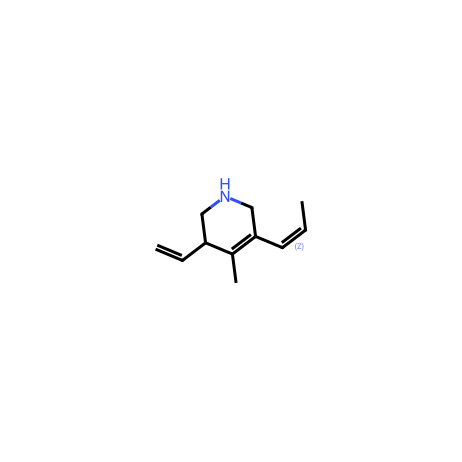 C=CC1CNCC(/C=C\C)=C1C